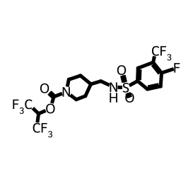 O=C(OC(C(F)(F)F)C(F)(F)F)N1CCC(CNS(=O)(=O)c2ccc(F)c(C(F)(F)F)c2)CC1